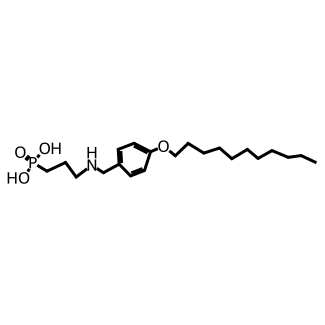 CCCCCCCCCCCOc1ccc(CNCCCP(=O)(O)O)cc1